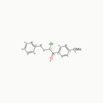 COc1ccc(C(=O)C(Br)CCc2ccccc2)cc1